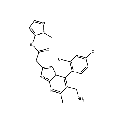 Cc1nc2nc(CC(=O)Nc3ccnn3C)cn2c(-c2ccc(Cl)cc2Cl)c1CN